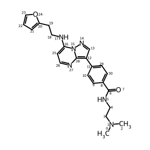 CN(C)CCNC(=O)c1ccc(-c2cnn3c(NCCc4ccco4)ccnc23)cc1